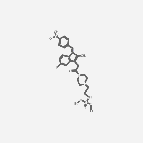 CCOP(=O)(NCCN1CCN(C(=O)CC2=C(C)/C(=C/c3ccc([S+](C)[O-])cc3)c3ccc(F)cc32)CC1)OCC